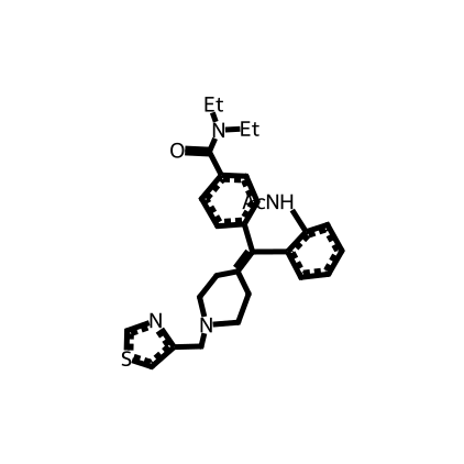 CCN(CC)C(=O)c1ccc(C(=C2CCN(Cc3cscn3)CC2)c2ccccc2NC(C)=O)cc1